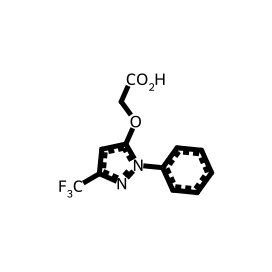 O=C(O)COc1cc(C(F)(F)F)nn1-c1ccccc1